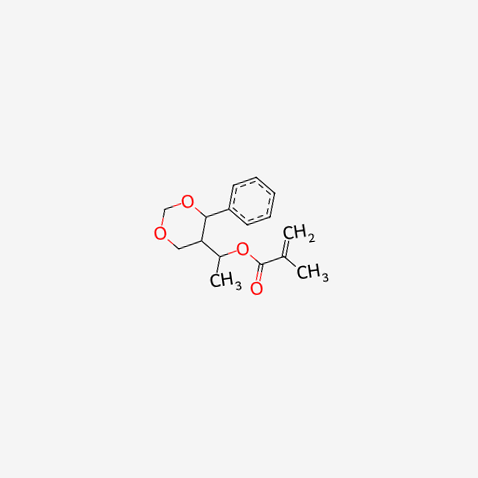 C=C(C)C(=O)OC(C)C1COCOC1c1ccccc1